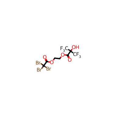 O=C(OCCOC(=O)C(O)(C(F)(F)F)C(F)(F)F)C(Br)(Br)Br